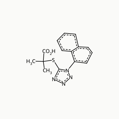 CC(C)(Sc1nnnn1-c1cccc2ccccc12)C(=O)O